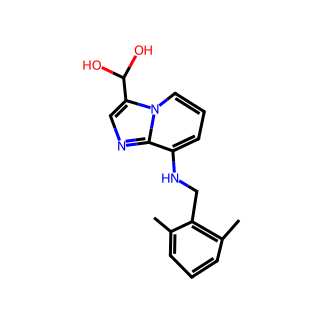 Cc1cccc(C)c1CNc1cccn2c(C(O)O)cnc12